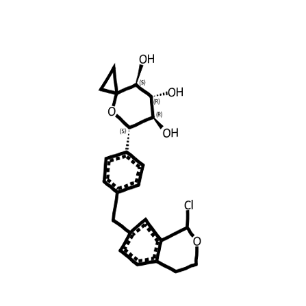 O[C@@H]1[C@@H](O)[C@H](O)C2(CC2)O[C@H]1c1ccc(Cc2ccc3c(c2)C(Cl)OCC3)cc1